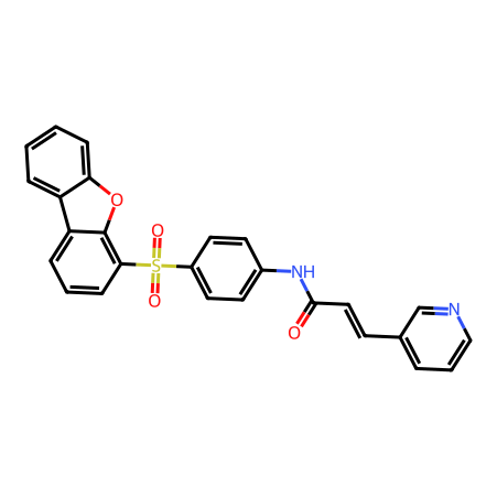 O=C(C=Cc1cccnc1)Nc1ccc(S(=O)(=O)c2cccc3c2oc2ccccc23)cc1